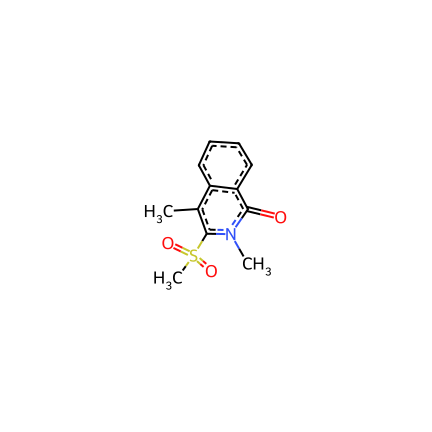 Cc1c(S(C)(=O)=O)n(C)c(=O)c2ccccc12